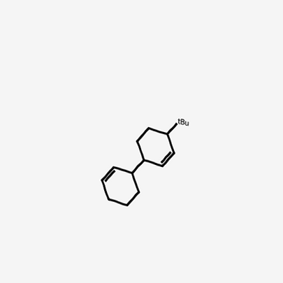 CC(C)(C)C1C=CC(C2C=CCCC2)CC1